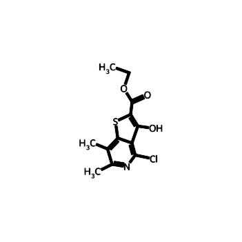 CCOC(=O)c1sc2c(C)c(C)nc(Cl)c2c1O